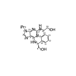 CC(C)n1cnc2c(N[C@H](CO)c3ccccc3)nc(NCCO)nc21